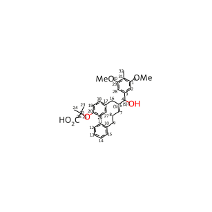 COc1cc([C@@H](O)[C@@H](CCCc2ccccc2)Cc2ccc(OC(C)(C)C(=O)O)cc2)cc(OC)c1C